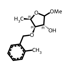 COC1O[C@H](C)[C@H](OCc2ccccc2C)[C@H]1O